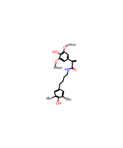 C=C(C(=O)NCCCCc1cc(C(C)(C)C)c(O)c(C(C)(C)C)c1)c1cc(OCCCCCCCCC)c(O)c(OCCCCCCCCC)c1